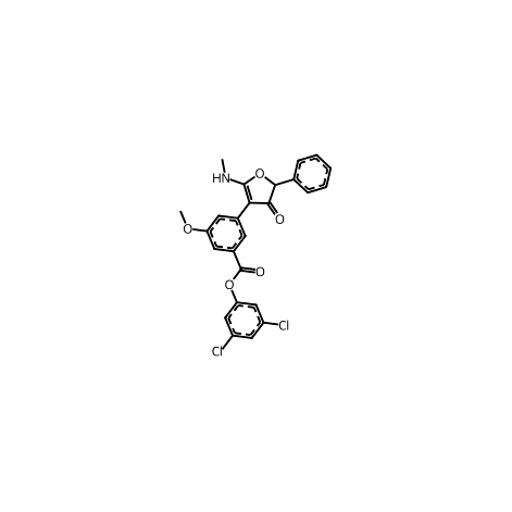 CNC1=C(c2cc(OC)cc(C(=O)Oc3cc(Cl)cc(Cl)c3)c2)C(=O)C(c2ccccc2)O1